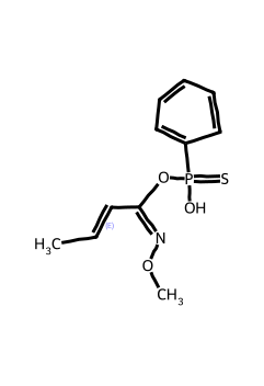 C/C=C/C(=NOC)OP(O)(=S)c1ccccc1